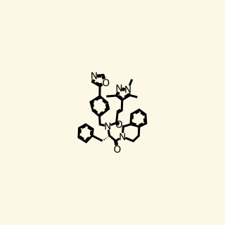 Cc1nn(C)c(C)c1/C=C/C(=O)N(Cc1ccc(-c2cnco2)cc1)[C@@H](Cc1ccccc1)C(=O)N1CCc2ccccc2C1